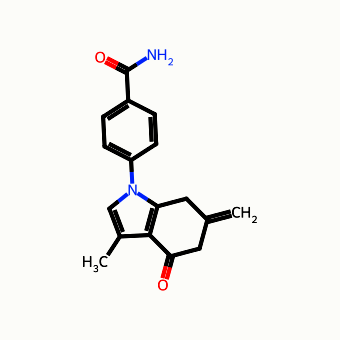 C=C1CC(=O)c2c(C)cn(-c3ccc(C(N)=O)cc3)c2C1